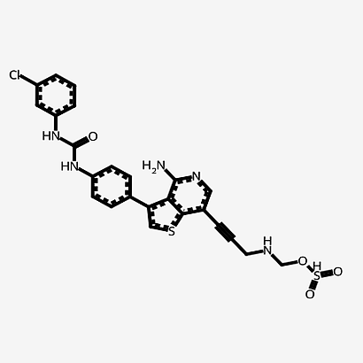 Nc1ncc(C#CCNCO[SH](=O)=O)c2scc(-c3ccc(NC(=O)Nc4cccc(Cl)c4)cc3)c12